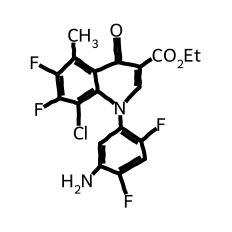 CCOC(=O)c1cn(-c2cc(N)c(F)cc2F)c2c(Cl)c(F)c(F)c(C)c2c1=O